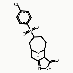 O=C1NN=C2CC3CC(S(=O)(=O)c4ccc(Cl)cc4)CCC(N3)C12